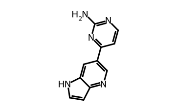 Nc1nccc(-c2cnc3cc[nH]c3c2)n1